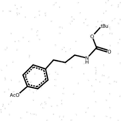 CC(=O)Oc1ccc(CCCNC(=O)OC(C)(C)C)cc1